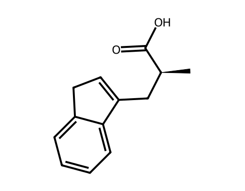 C[C@@H](CC1=CCc2ccccc21)C(=O)O